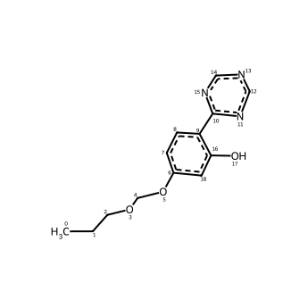 CCCOCOc1ccc(-c2ncncn2)c(O)c1